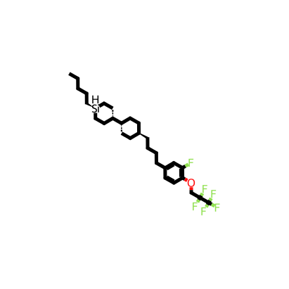 CCCCC[Si@H]1CC[C@H]([C@H]2CC[C@H](CCCCc3ccc(OCC(F)(F)C(F)(F)F)c(F)c3)CC2)CC1